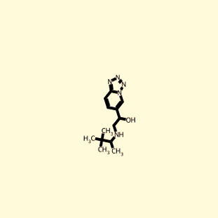 CC(NCC(O)c1ccc2nnnn2c1)C(C)(C)C